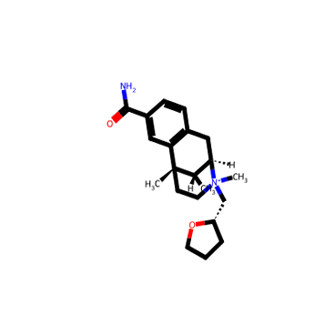 C[C@H]1[C@H]2Cc3ccc(C(N)=O)cc3[C@@]1(C)CC[N+]2(C)C[C@@H]1CCCO1